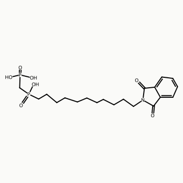 O=C1c2ccccc2C(=O)N1CCCCCCCCCCCP(=O)(O)CP(=O)(O)O